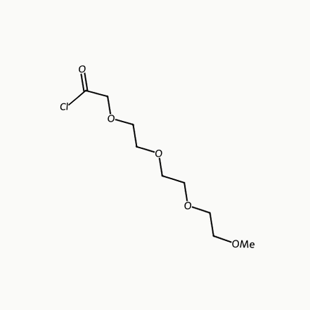 COCCOCCOCCOCC(=O)Cl